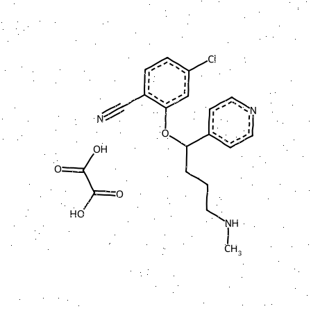 CNCCCC(Oc1cc(Cl)ccc1C#N)c1ccncc1.O=C(O)C(=O)O